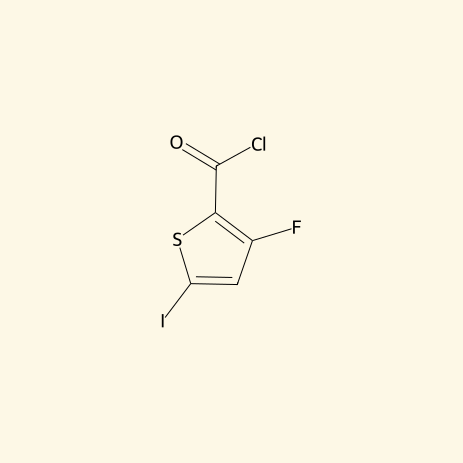 O=C(Cl)c1sc(I)cc1F